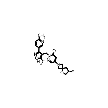 Cc1ccc(-c2noc(C)c2Cn2ncc(N3CC4(C[C@H](F)CO4)C3)cc2=O)cn1